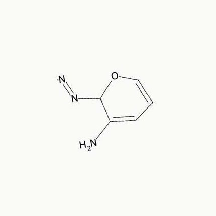 [N]=NC1OC=CC=C1N